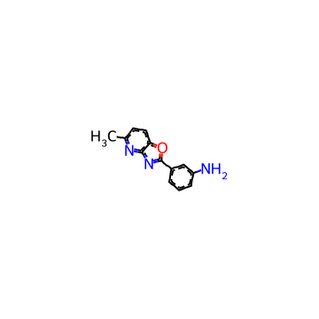 Cc1ccc2oc(-c3cccc(N)c3)nc2n1